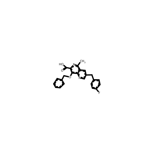 Cc1nc(C(=O)O)c(OCc2ccccc2)c2ncc(Cc3ccc(F)cc3)cc12